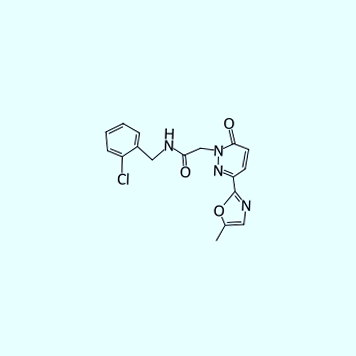 Cc1cnc(-c2ccc(=O)n(CC(=O)NCc3ccccc3Cl)n2)o1